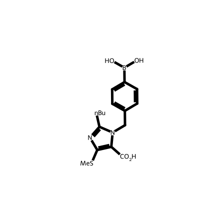 CCCCc1nc(SC)c(C(=O)O)n1Cc1ccc(B(O)O)cc1